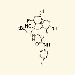 CC(C)(C)C[C@@H]1N[C@H](OC(=O)Nc2ccc(Cl)cc2)C(c2cccc(Cl)c2F)C1(C#N)c1ccc(Cl)cc1F